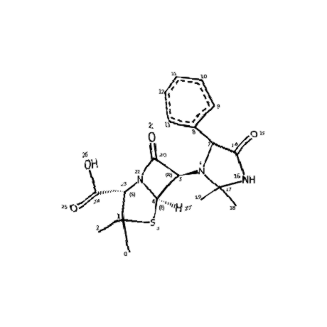 CC1(C)S[C@@H]2[C@H](N3C(c4ccccc4)C(=O)NC3(C)C)C(=O)N2[C@H]1C(=O)O